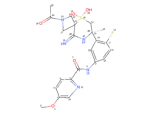 COc1ccc(C(=O)Nc2ccc(F)c([C@]3(C)CS(O)(O)C4(CN(C(C)=O)C4)C(=N)N3)c2)nc1